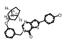 CN1[C@@H]2CC[C@H]1C[C@@H](Oc1cccc(Cn3cnc4cc(-c5ccc(Cl)cc5)sc4c3=O)c1)C2